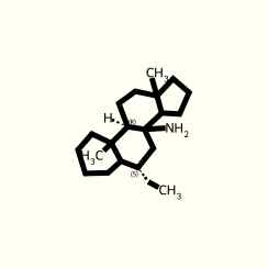 CC[C@H]1CC2(N)C3CCCC3(C)CC[C@@H]2C2(C)CCCCC12